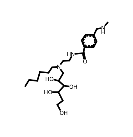 CCCCCCN(CCNC(=O)c1ccc(CNC)cc1)CC(O)C(O)C(O)CCO